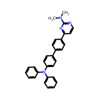 CN(C)c1nccc(-c2ccc(-c3ccc(N(c4ccccc4)c4ccccc4)cc3)cc2)n1